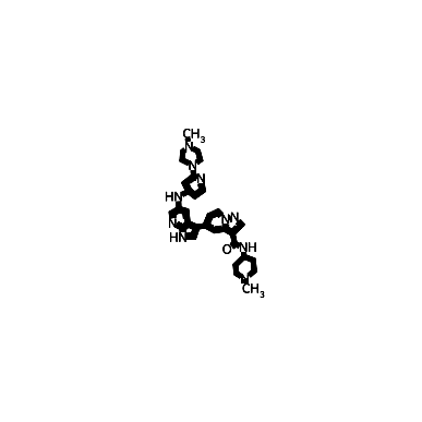 CN1CCC(NC(=O)c2cnn3ccc(-c4c[nH]c5ncc(Nc6ccnc(N7CCN(C)CC7)c6)cc45)cc23)CC1